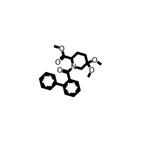 COC(=O)C1CCC(OC)(OC)CN1C(=O)c1ccccc1-c1ccccc1